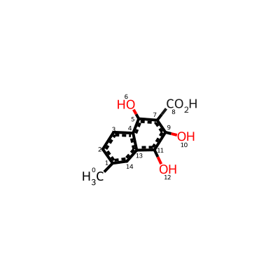 Cc1ccc2c(O)c(C(=O)O)c(O)c(O)c2c1